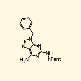 CCCCCNc1nc(N)c2ncn(Cc3ccccc3)c2n1